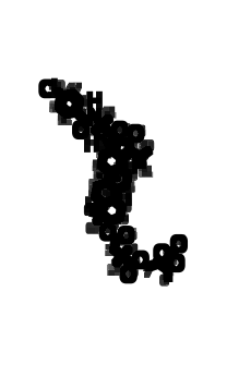 Cc1oc(=O)oc1COC(=O)C(C)(C)CC(=O)O[C@H]1CC[C@]2(C)[C@H]3CC[C@@H]4C5=C(C(C)C)C(=O)C[C@]5(NC(=O)C(C)(C)NC(=O)c5ccc(Cl)cc5)CC[C@@]4(C)[C@]3(C)CC[C@H]2C1(C)C